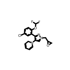 FC(F)Oc1ccc(Cl)cc1-c1nn(CC2CO2)cc1N1C=CC=CC1